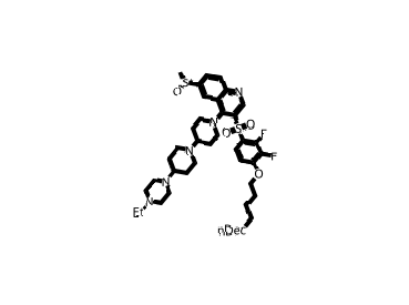 CCCCCCCCCCCCCCOc1ccc(S(=O)(=O)c2cnc3ccc([S+](C)[O-])cc3c2N2CCC(N3CCC(N4CCN(CC)CC4)CC3)CC2)c(F)c1F